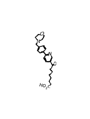 O=C(O)CCCCCCC(=O)c1ccc(-c2ccc(CN3CCOCC3)cc2)nc1